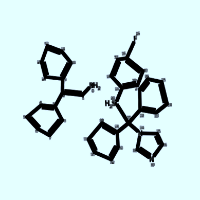 BC=C(c1ccccc1)c1ccccc1.Fc1ccc([SiH2]C(c2ccccc2)(c2ccccc2)n2ccnc2)cc1